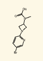 CN(C(=O)O)C1CN(c2ccc(Br)cn2)C1